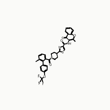 Cc1cccc(C(=O)N2CCC(c3nc(C(=O)Nc4c(C)oc5ccccc5c4=O)cs3)CC2)c1-c1ccc(OC(F)(F)F)cc1